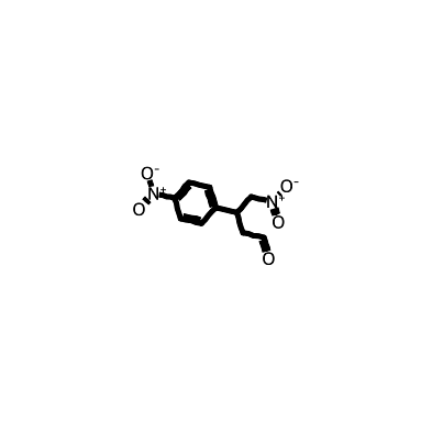 O=CCC(C[N+](=O)[O-])c1ccc([N+](=O)[O-])cc1